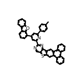 Cc1ccc(-c2cc(-c3cccc4c3oc3ccccc34)cc(-c3ncc4sc5cc6c7ccccc7c7ccccc7c6cc5c4n3)n2)cc1